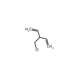 C=CC(C=C)CCl